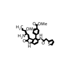 C=C/C(OC)=C(N)/C=C1\C(=O)Nc2ccc(NC(=O)Cc3cccs3)c(-c3ccc(C(=O)OC)cc3)c21